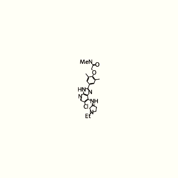 CCN1CC[C@H](Nc2c(Cl)cnc3[nH]c(-c4cc(C)c(OCC(=O)NC)c(C)c4)nc23)C1